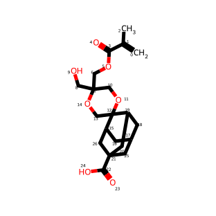 C=C(C)C(=O)OCC1(CO)COC2(CO1)C1CC3CC2CC(C(=O)O)(C3)C1